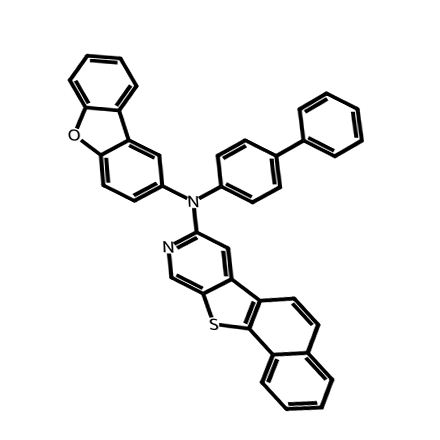 c1ccc(-c2ccc(N(c3ccc4oc5ccccc5c4c3)c3cc4c(cn3)sc3c5ccccc5ccc43)cc2)cc1